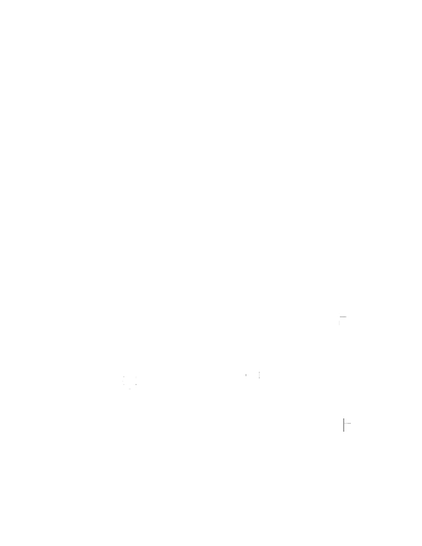 C=[C]c1ccc(OC(F)F)c(OC)c1